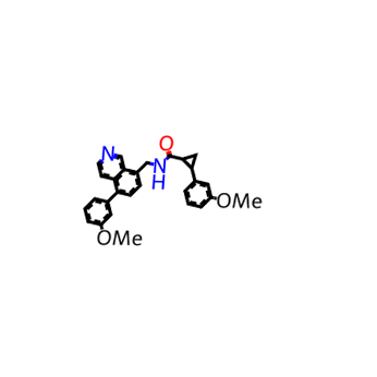 COc1cccc(-c2ccc(CNC(=O)C3CC3c3cccc(OC)c3)c3cnccc23)c1